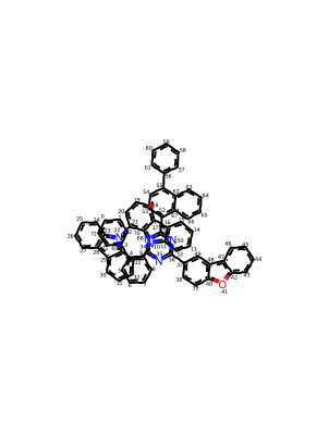 c1ccc(-c2ccccc2-n2c3ccccc3c3cccc(-n4c5ccccc5c5cccc(-c6nc(-c7ccc8oc9ccccc9c8c7)nc(-c7ccc(-c8ccccc8)c8ccccc78)n6)c54)c32)cc1